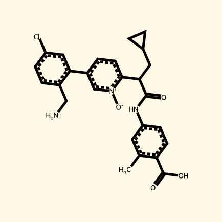 Cc1cc(NC(=O)C(CC2CC2)c2ccc(-c3cc(Cl)ccc3CN)c[n+]2[O-])ccc1C(=O)O